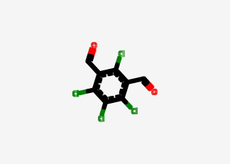 O=Cc1c(Cl)c(Cl)c(Cl)c(C=O)c1Cl